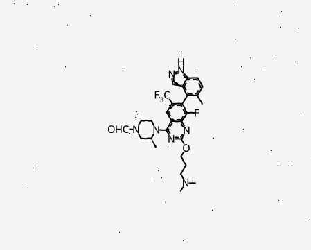 Cc1ccc2[nH]ncc2c1-c1c(C(F)(F)F)cc2c(N3C[C@@H](C)N(C=O)C[C@@H]3C)nc(OCCCN(C)C)nc2c1F